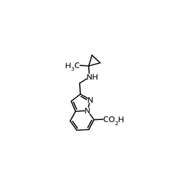 CC1(NCc2cc3cccc(C(=O)O)n3n2)CC1